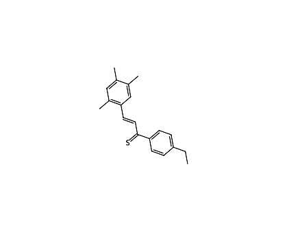 CCc1ccc(C(=S)C=Cc2cc(C)c(C)cc2C)cc1